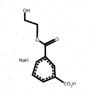 O=C(O)c1cccc(C(=O)OCCO)c1.[NaH]